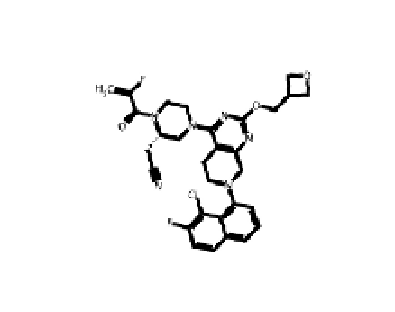 C=C(F)C(=O)N1CCN(c2nc(OCC3COC3)nc3c2CCN(c2cccc4ccc(F)c(Cl)c24)C3)C[C@@H]1CC#N